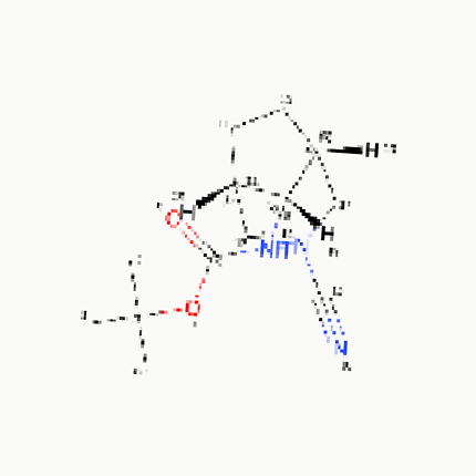 CC(C)(C)OC(=O)N[C@H]1[C@@H]2CC[C@H]1CN(C#N)C2